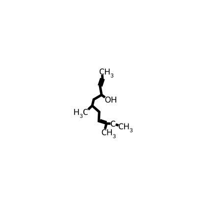 CC#CC(O)CC(C)CC=C(C)CC